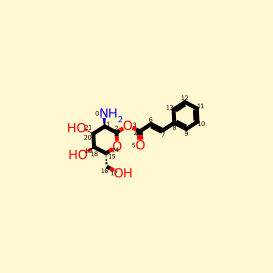 N[C@H]1C(OC(=O)C=Cc2ccccc2)O[C@H](CO)[C@@H](O)[C@@H]1O